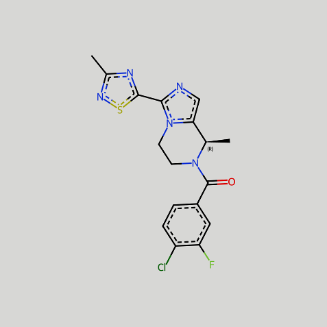 Cc1nsc(-c2ncc3n2CCN(C(=O)c2ccc(Cl)c(F)c2)[C@@H]3C)n1